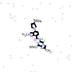 CNC1CCN(c2ccc(C(=O)Nc3nc(OC)c4nc(C)cn4c3F)c3nn(C)cc23)C1